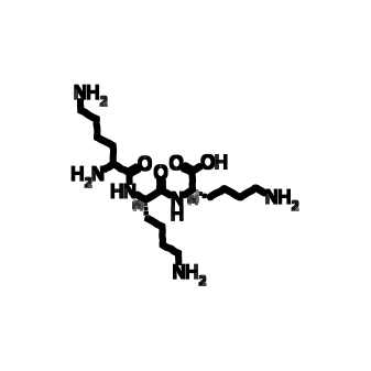 NCCCCC(N)C(=O)N[C@@H](CCCCN)C(=O)N[C@@H](CCCCN)C(=O)O